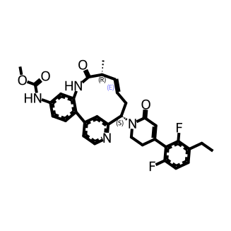 CCc1ccc(F)c(C2=CC(=O)N([C@H]3C/C=C/[C@@H](C)C(=O)Nc4cc(NC(=O)OC)ccc4-c4ccnc3c4)CC2)c1F